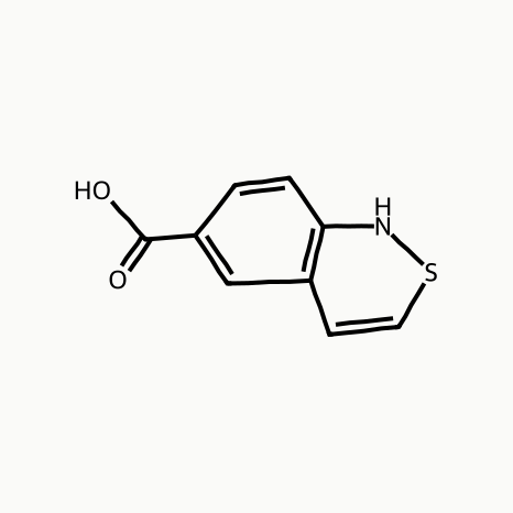 O=C(O)c1ccc2c(c1)C=CSN2